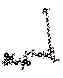 CCN(CCN(CC)C(=O)Oc1cc2c(c3ccccc13)[C@H](CCl)CN2C(=O)c1ccc(C(=O)N2C[C@@H](CCl)c3c2cc(OP(=O)(O)O)c2ccccc32)s1)C(=O)OCc1ccc(NC(=O)[C@H](CCCNC(N)=O)NC(=O)[C@@H](NC(=O)CCOCCOCCOCCOCCOCCOCCN2C(=O)C=CC2=O)C(C)C)cc1